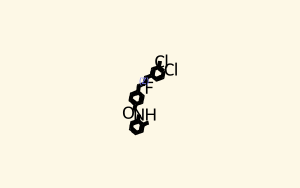 Cc1ccccc1NC(=O)c1ccc(C/C(F)=C/c2ccc(Cl)c(Cl)c2)cc1